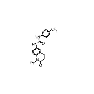 CC(C)N1C(=O)CCc2cc(NC(=O)Nc3ccc(C(F)(F)F)cc3)ccc21